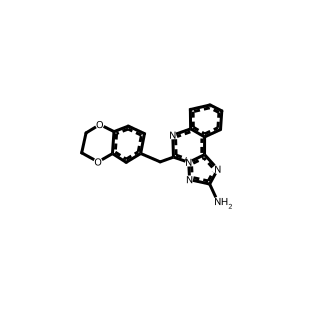 Nc1nc2c3ccccc3nc(Cc3ccc4c(c3)OCCO4)n2n1